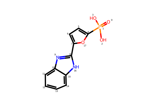 O=P(O)(O)c1ccc(-c2nc3ccccc3[nH]2)o1